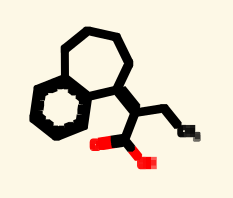 CCC(C(=O)O)=C1CCCCc2ccccc21